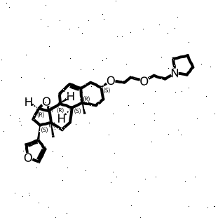 C[C@]12CC[C@H](OCCOCCN3CCCC3)CC1=CC[C@@H]1[C@@H]2CC[C@]2(C)[C@@H](c3ccoc3)C[C@H]3O[C@]132